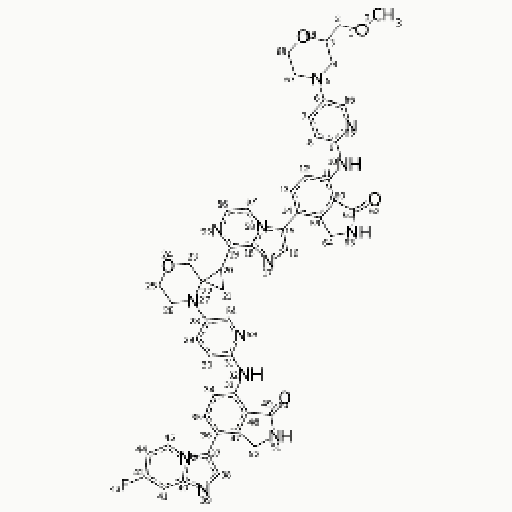 COCC1CN(c2ccc(Nc3ccc(-c4cnc5c(C6CC67COCCN7c6ccc(Nc7ccc(-c8cnc9cc(F)ccn89)c8c7C(=O)NC8)nc6)nccn45)c4c3C(=O)NC4)nc2)CCO1